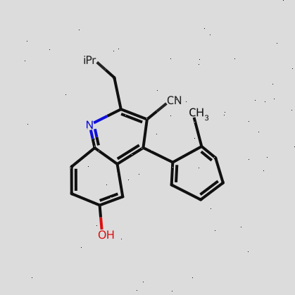 Cc1ccccc1-c1c(C#N)c(CC(C)C)nc2ccc(O)cc12